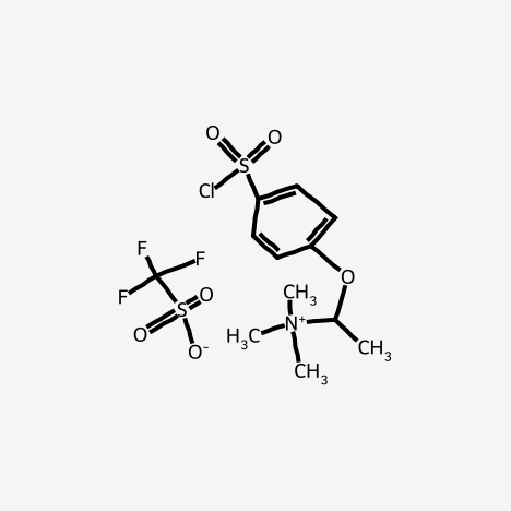 CC(Oc1ccc(S(=O)(=O)Cl)cc1)[N+](C)(C)C.O=S(=O)([O-])C(F)(F)F